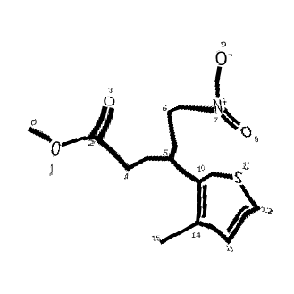 COC(=O)CC(C[N+](=O)[O-])c1sccc1C